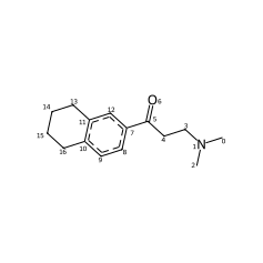 CN(C)CCC(=O)c1ccc2c(c1)CCCC2